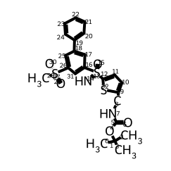 CC(C)(C)OC(=O)NCc1ccc(S(=N)(=O)c2cc(-c3ccccc3)cc(S(C)(=O)=O)c2)s1